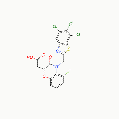 O=C(O)CC1Oc2cccc(F)c2N(Cc2nc3cc(Cl)c(Cl)c(Cl)c3s2)C1=O